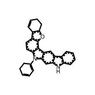 C1=CCCC(n2c3cc4[nH]c5ccccc5c4cc3c3c4oc5c(c4ccc32)C=CCC5)=C1